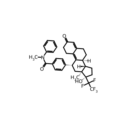 CN(C(=O)c1ccc([C@H]2C[C@@]3(C)[C@@H](CC[C@@]3(O)C(F)(F)C(F)(F)F)[C@@H]3CCC4=CC(=O)CCC4=C32)cc1)c1ccccc1